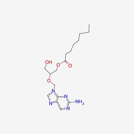 CCCCCCCC(=O)OCC(CO)OCn1cnc2cnc(N)nc21